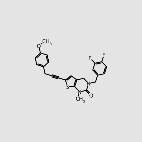 COc1ccc(CC#Cc2cc3c(s2)N(C)C(=O)N(Cc2ccc(F)c(F)c2)C3)cc1